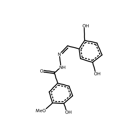 COc1cc(C(=O)N/N=C\c2cc(O)ccc2O)ccc1O